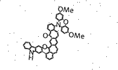 COc1ccc2c(c1)Oc1cc(OC)ccc1N2c1cccc2c(=O)c3cc4c(=O)c5c(-c6ccc7c(c6)[nH]c6ccccc67)cccc5ccc4cc3ccc12